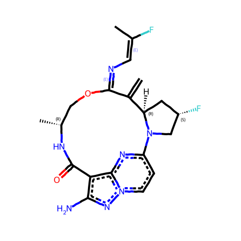 C=C1/C(=N\C=C(/C)F)OC[C@@H](C)NC(=O)c2c(N)nn3ccc(nc23)N2C[C@@H](F)C[C@H]12